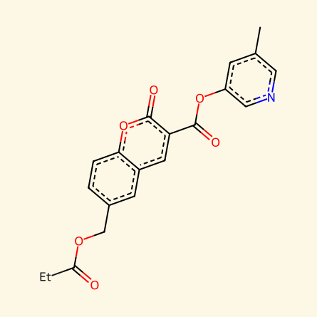 CCC(=O)OCc1ccc2oc(=O)c(C(=O)Oc3cncc(C)c3)cc2c1